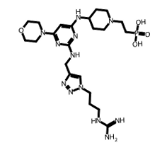 N=C(N)NCCCn1cc(CNc2nc(NC3CCN(CCP(=O)(O)O)CC3)cc(N3CCOCC3)n2)nn1